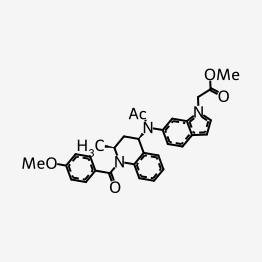 COC(=O)Cn1ccc2ccc(N(C(C)=O)[C@@H]3C[C@H](C)N(C(=O)c4ccc(OC)cc4)c4ccccc43)cc21